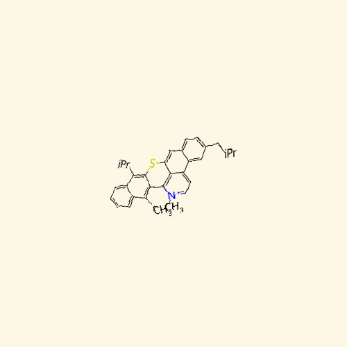 Cc1c2c(c(C(C)C)c3ccccc13)Sc1cc3ccc(CC(C)C)cc3c3cc[n+](C)c-2c13